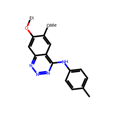 CCOc1cc2nnnc(Nc3ccc(C)cc3)c2cc1OC